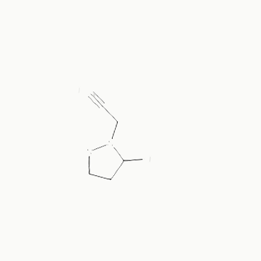 C#CCN1NCCC1C